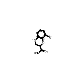 NC(=O)C1COc2cccc(Br)c2O1